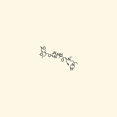 C#CCC(=CC(/C=C(\C)Nc1ncc(OC/C(CCC)=C(C)/C(=C\C(=C)OC)OC)cn1)OC)N(CC)CCC(CC)N1CCN(C)CC1